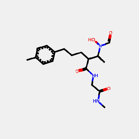 CNC(=O)CNC(=O)C(CCCc1ccc(C)cc1)C(C)N(O)C=O